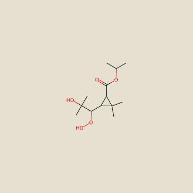 CC(C)OC(=O)C1C(C(OO)C(C)(C)O)C1(C)C